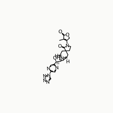 CC1=C(N2CCC3(C[C@H]4CC[C@H](C3)N4C[C@H](O)c3cnc(-n4cnnn4)cn3)C2=O)COC1=O